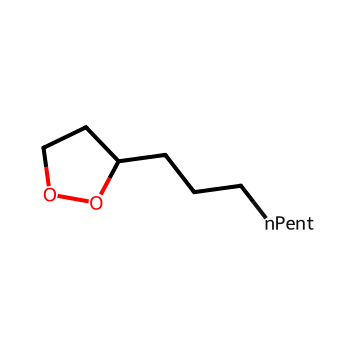 CCCCCCCCC1CCOO1